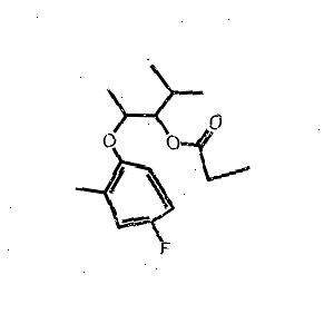 CCC(=O)OC(C(C)C)C(C)Oc1ccc(F)cc1C